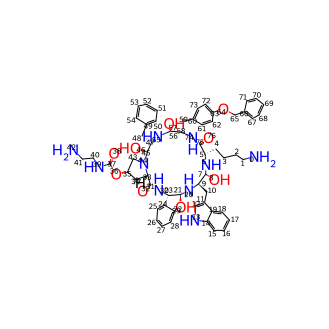 NCCCC[C@@H]1NC(O)[C@@H](Cc2c[nH]c3ccccc23)N[C@@H](O)[C@H](c2ccccc2)NC(=O)[C@@H]2C[C@@H](OC(=O)NCCN)CN2[C@@H](O)[C@H](Cc2ccccc2)NC(O)[C@H](Cc2ccc(OCc3ccccc3)cc2)NC1=O